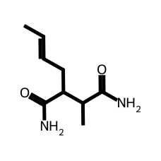 CC=CCC(C(N)=O)C(C)C(N)=O